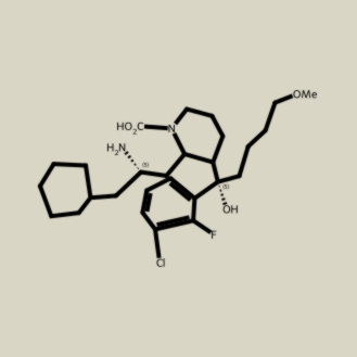 COCCCC[C@@](O)(c1cccc(Cl)c1F)C1CCCN(C(=O)O)C1C[C@@H](N)CC1CCCCC1